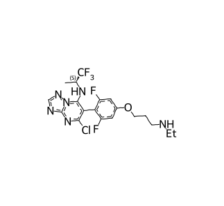 CCNCCCOc1cc(F)c(-c2c(Cl)nc3ncnn3c2N[C@@H](C)C(F)(F)F)c(F)c1